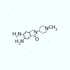 CN1CCC(N2Cc3cc(N)c(N)cc3C2=O)CC1